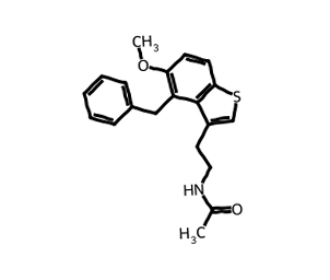 COc1ccc2scc(CCNC(C)=O)c2c1Cc1ccccc1